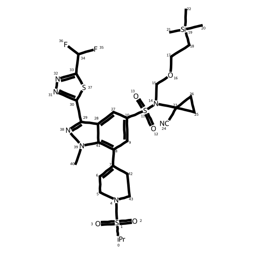 CC(C)S(=O)(=O)N1CC=C(c2cc(S(=O)(=O)N(COCC[Si](C)(C)C)C3(C#N)CC3)cc3c(-c4nnc(C(F)F)s4)nn(C)c23)CC1